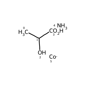 CC(O)C(=O)O.N.[Co]